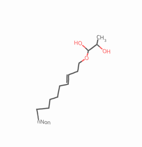 CCCCCCCCCCCCCCC=CCCOC(O)C(C)O